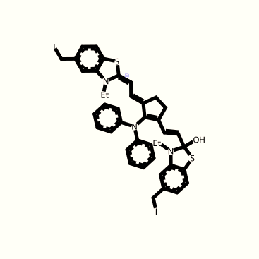 CCN1/C(=C\C=C2CCC(C=CC3(O)Sc4ccc(CI)cc4N3CC)=C2N(c2ccccc2)c2ccccc2)Sc2ccc(CI)cc21